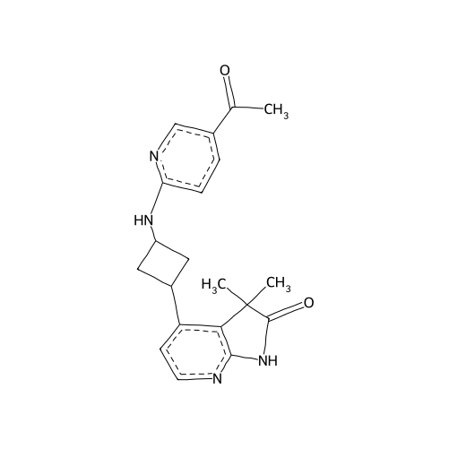 CC(=O)c1ccc(NC2CC(c3ccnc4c3C(C)(C)C(=O)N4)C2)nc1